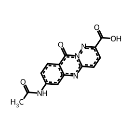 CC(=O)Nc1ccc2c(=O)n3nc(C(=O)O)ccc3nc2c1